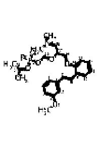 COc1cccc(CCc2ccccc2OCC(CN(C)C)OCO[P@@](=O)(F)OC(C)C)c1